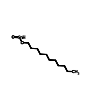 CCCCCCCCCCC[O][SnH]=[O]